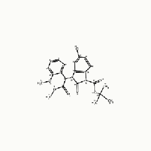 COC(=O)C(c1ccccc1OC)n1c(=O)n(C(=O)OC(C)(C)C)c2ccc(Cl)cc21